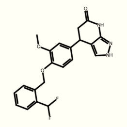 COc1cc(C2CC(=O)Nc3n[nH]cc32)ccc1OCc1ccccc1C(F)F